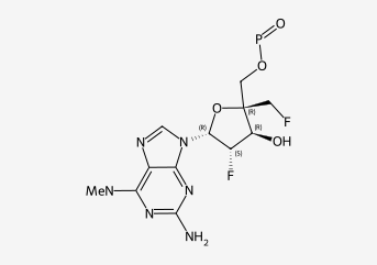 CNc1nc(N)nc2c1ncn2[C@@H]1O[C@](CF)(COP=O)[C@@H](O)[C@@H]1F